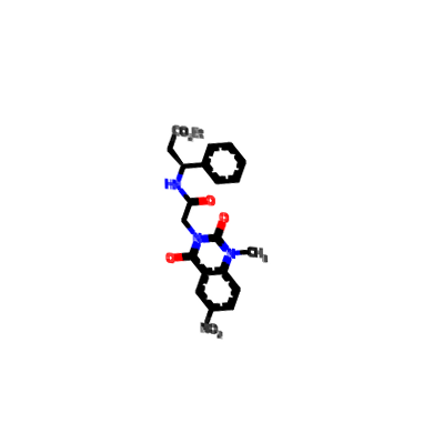 CCOC(=O)C[C@H](NC(=O)Cn1c(=O)c2cc([N+](=O)[O-])ccc2n(C)c1=O)c1ccccc1